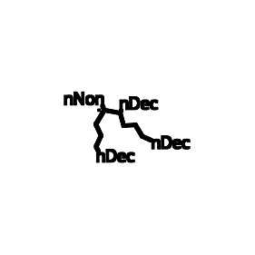 CCCCCCCCCCCCC[C](CCCCCCCCC)C(CCCCCCCCCC)CCCCCCCCCCCCC